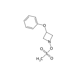 CS(=O)(=O)ON1CC(Oc2ccccc2)C1